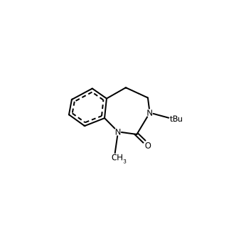 CN1C(=O)N(C(C)(C)C)CCc2ccccc21